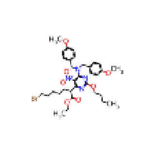 CCCCOc1nc(C(CCCCCBr)C(=O)OCC)c([N+](=O)[O-])c(N(Cc2ccc(OC)cc2)Cc2ccc(OC)cc2)n1